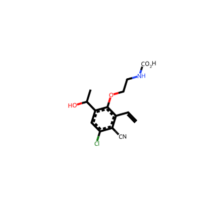 C=Cc1c(C#N)c(Cl)cc(C(C)O)c1OCCNC(=O)O